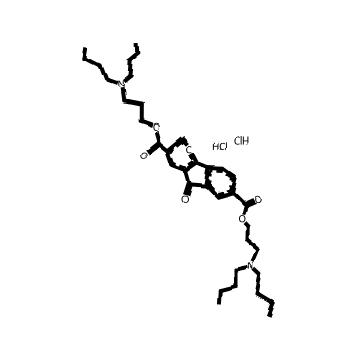 CCCCN(CCCC)CCCOC(=O)c1ccc2c(c1)C(=O)c1cc(C(=O)OCCCN(CCCC)CCCC)ccc1-2.Cl.Cl